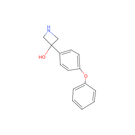 OC1(c2ccc(Oc3ccccc3)cc2)CNC1